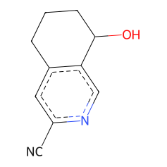 N#Cc1cc2c(cn1)C(O)CCC2